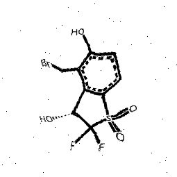 O=S1(=O)c2ccc(O)c(Br)c2[C@@H](O)C1(F)F